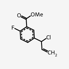 C=CC(Cl)c1ccc(F)c(C(=O)OC)c1